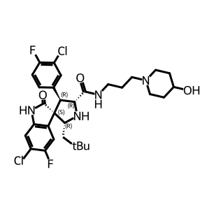 CC(C)(C)C[C@H]1N[C@@H](C(=O)NCCCN2CCC(O)CC2)[C@H](c2ccc(F)c(Cl)c2)[C@@]12C(=O)Nc1cc(Cl)c(F)cc12